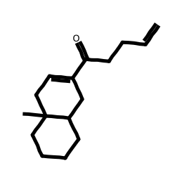 C=CCCC(=O)C1=CCC2(C)CCCCC2C1